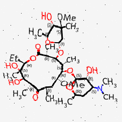 CC[C@H]1OC(=O)[C@H](C)[C@@H](O[C@H]2C[C@](C)(OC)[C@@H](O)[C@H](C)O2)[C@H](C)[C@@H](O[C@@H]2O[C@H](C)C[C@H](N(C)C)[C@H]2O)[C@H](OC)C[C@@H](C)C(=O)[C@H](C)[C@@H](O)[C@]1(C)O